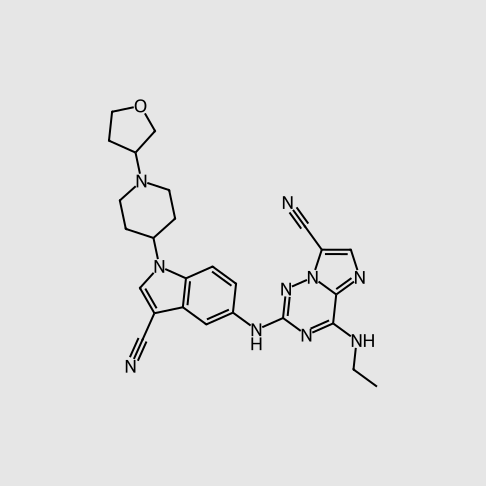 CCNc1nc(Nc2ccc3c(c2)c(C#N)cn3C2CCN(C3CCOC3)CC2)nn2c(C#N)cnc12